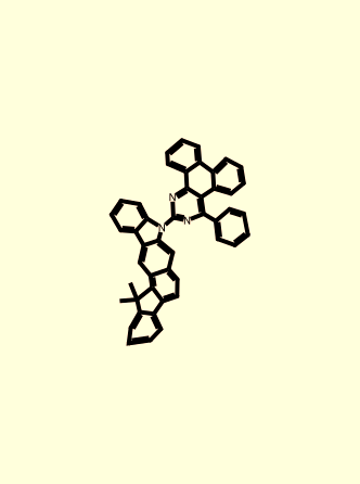 CC1(C)c2ccccc2-c2ccc3cc4c(cc3c21)c1ccccc1n4-c1nc(-c2ccccc2)c2c3ccccc3c3ccccc3c2n1